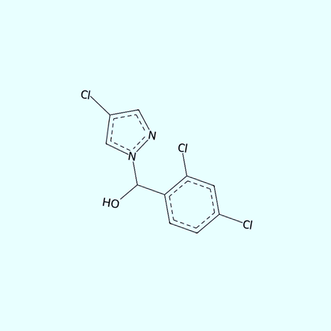 OC(c1ccc(Cl)cc1Cl)n1cc(Cl)cn1